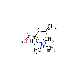 CCCCC=O.C[N+](C)(C)C